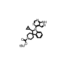 CC(C)(C)OC(=O)N1CCC2(CC1)c1ccccc1N(c1ncnc3[nH]ncc13)C2C1CC1